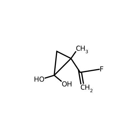 C=C(F)C1(C)CC1(O)O